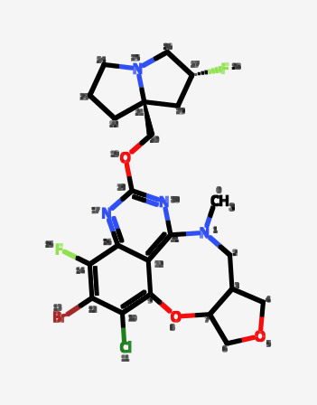 CN1CC2COCC2Oc2c(Cl)c(Br)c(F)c3nc(OC[C@@]45CCCN4C[C@H](F)C5)nc1c23